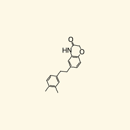 Cc1ccc(CCc2ccc3c(c2)NC(=O)CO3)cc1C